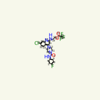 O=C(Nc1ccc(F)cc1)N1CCN(c2cc(NCCOC(=O)C(F)(F)F)nc3cc(Cl)ccc23)CC1